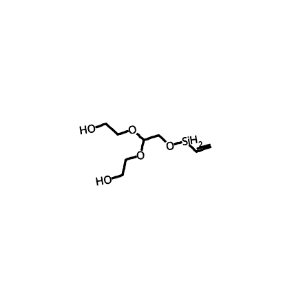 C=C[SiH2]OCC(OCCO)OCCO